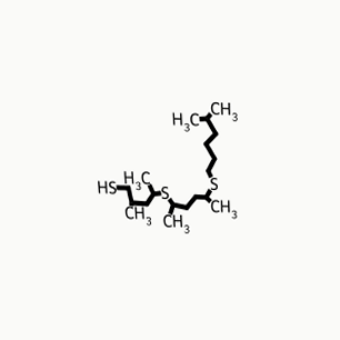 CC(C)CCCCSC(C)CCC(C)SC(C)CC(C)CS